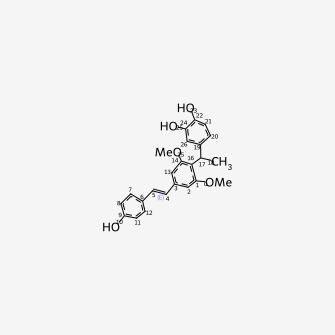 COc1cc(/C=C/c2ccc(O)cc2)cc(OC)c1C(C)c1ccc(O)c(O)c1